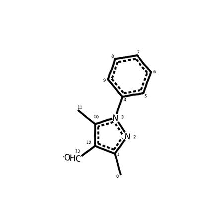 Cc1nn(-c2ccccc2)c(C)c1[C]=O